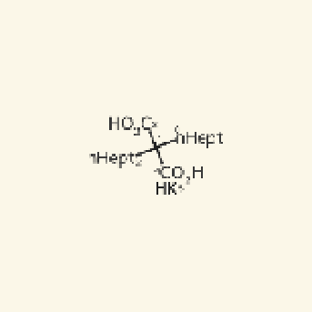 CCCCCCCC(CCCCCCC)(C(=O)O)C(=O)O.[KH]